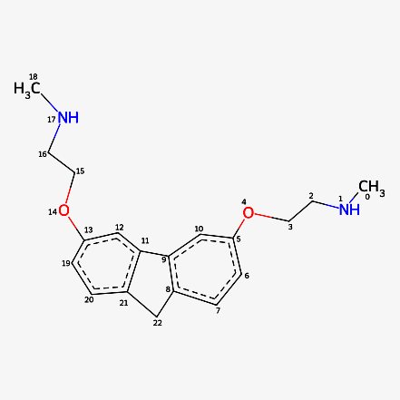 CNCCOc1ccc2c(c1)-c1cc(OCCNC)ccc1C2